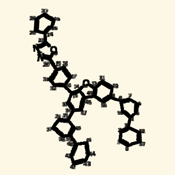 c1ccc(-c2cccc(-c3ccc4oc5c(-c6ccc(-c7nnc(-c8ccccc8)o7)cc6)cc(-c6cccc(-c7ccccc7)c6)cc5c4c3)c2)cc1